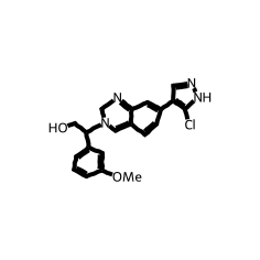 COc1cccc(C(CO)N2C=c3ccc(-c4cn[nH]c4Cl)cc3=NC2)c1